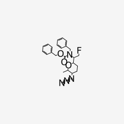 CC1OC(C(CF)N(Cc2ccccc2)C(=O)OCc2ccccc2)CCC1N=[N+]=[N-]